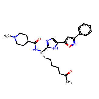 CC(=O)CCCCC[C@H](NC(=O)C1CCN(C)CC1)C1=[N+]C=C(c2cc(-c3ccccc3)no2)N1